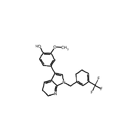 COc1cc(-c2cn(CC3=CC(C(F)(F)F)=CCC3)c3c2=CCCN=3)ccc1O